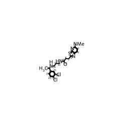 CNc1ccc2nc(CCC(=O)NCCCNC(C)c3ccc(Cl)c(Cl)c3)sc2n1